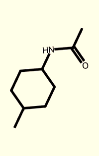 C[C]1CCC(NC(C)=O)CC1